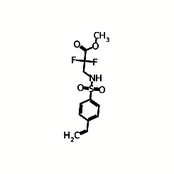 C=Cc1ccc(S(=O)(=O)NCC(F)(F)C(=O)OC)cc1